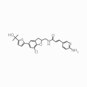 CC(C)(O)c1ccc(-c2cc(Cl)c3c(c2)CC(CNC(=O)C=Cc2ccc(N)nc2)O3)s1